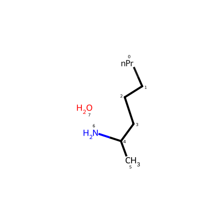 CCCCCCC(C)N.O